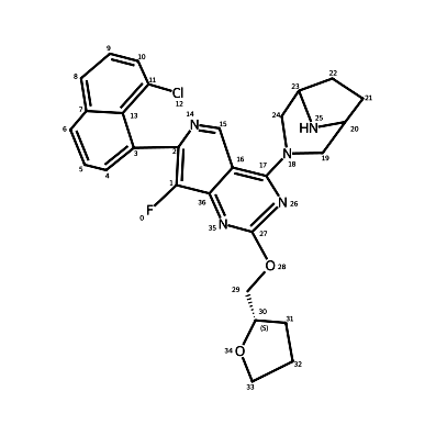 Fc1c(-c2cccc3cccc(Cl)c23)ncc2c(N3CC4CCC(C3)N4)nc(OC[C@@H]3CCCO3)nc12